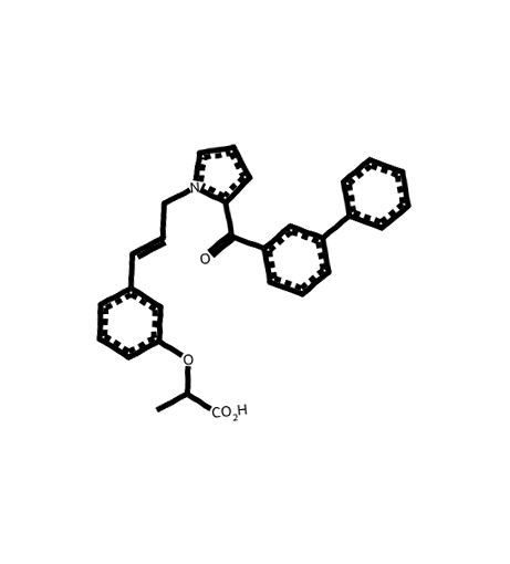 CC(Oc1cccc(/C=C/Cn2cccc2C(=O)c2cccc(-c3ccccc3)c2)c1)C(=O)O